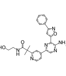 CC(C)(C(=O)NCCO)c1cc(-c2cnc(N)c(-c3cc(-c4ccccc4)no3)n2)ccn1